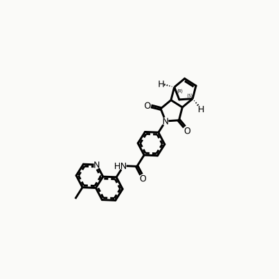 Cc1ccnc2c(NC(=O)c3ccc(N4C(=O)C5C(C4=O)[C@H]4C=C[C@@H]5C4)cc3)cccc12